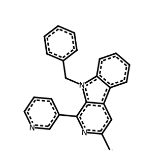 [CH2]c1cc2c3ccccc3n(Cc3ccccc3)c2c(-c2cccnc2)n1